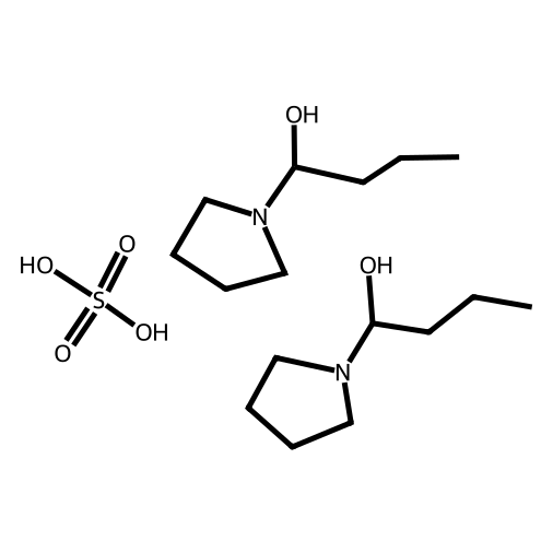 CCCC(O)N1CCCC1.CCCC(O)N1CCCC1.O=S(=O)(O)O